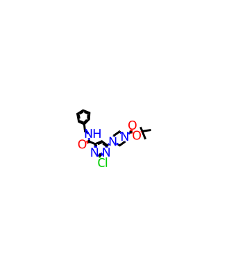 CC(C)(C)OC(=O)N1CCN(c2cc(C(=O)NCc3ccccc3)nc(Cl)n2)CC1